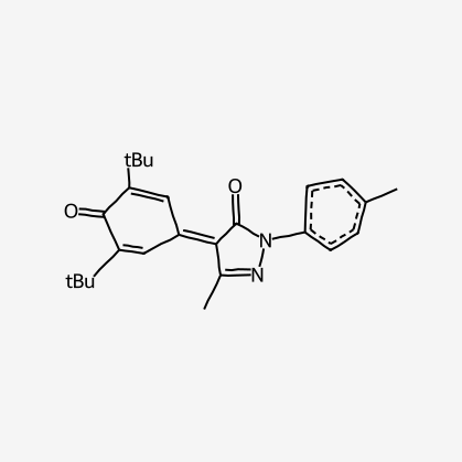 CC1=NN(c2ccc(C)cc2)C(=O)C1=C1C=C(C(C)(C)C)C(=O)C(C(C)(C)C)=C1